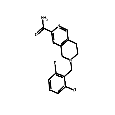 NC(=O)c1n[c]c2c(n1)CN(Cc1c(F)cccc1Cl)CC2